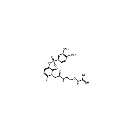 COc1ccc(S(=O)(=O)Nc2ccc(C)n(CC(=O)NCCONC(=N)N)c2=O)cc1OC